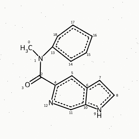 CN(C(=O)c1cc2cc[nH]c2cn1)c1ccccc1